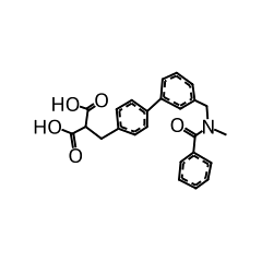 CN(Cc1cccc(-c2ccc(CC(C(=O)O)C(=O)O)cc2)c1)C(=O)c1ccccc1